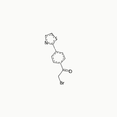 O=C(CBr)c1ccc(-c2nccs2)cc1